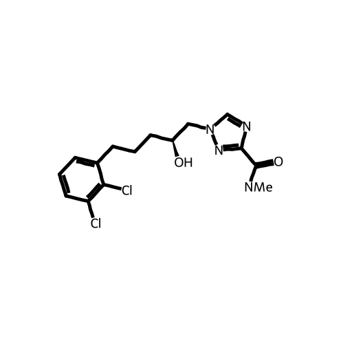 CNC(=O)c1ncn(C[C@@H](O)CCCc2cccc(Cl)c2Cl)n1